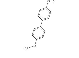 O=C(O)c1ccc(-c2ccc(OC(F)(F)F)cc2)cc1